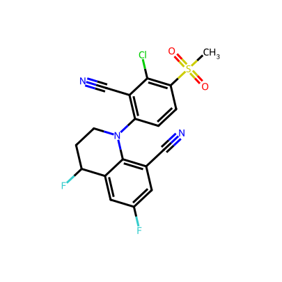 CS(=O)(=O)c1ccc(N2CCC(F)c3cc(F)cc(C#N)c32)c(C#N)c1Cl